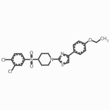 CCOc1ccc(-c2csc(N3CCC(S(=O)(=O)c4ccc(Cl)c(Cl)c4)CC3)n2)cc1